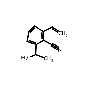 [CH2]C(C)c1cccc(C=C)c1C#N